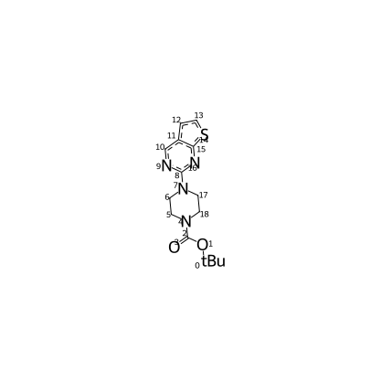 CC(C)(C)OC(=O)N1CCN(c2ncc3ccsc3n2)CC1